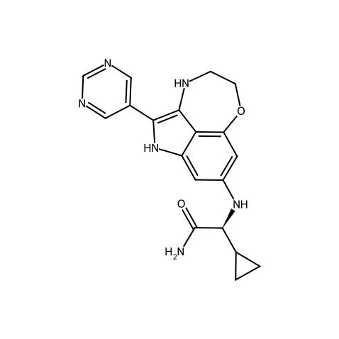 NC(=O)[C@@H](Nc1cc2c3c(c(-c4cncnc4)[nH]c3c1)NCCO2)C1CC1